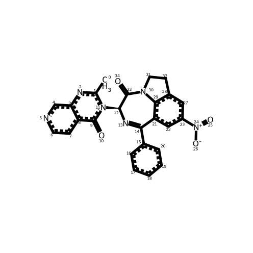 Cc1nc2cnccc2c(=O)n1[C@@H]1N=C(c2ccccc2)c2cc([N+](=O)[O-])cc3c2N(CC3)C1=O